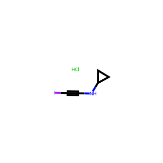 Cl.IC#CNC1CC1